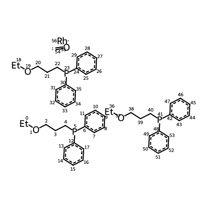 CCOCCCP(c1ccccc1)c1ccccc1.CCOCCCP(c1ccccc1)c1ccccc1.CCOCCCP(c1ccccc1)c1ccccc1.[C]=O.[Rh]